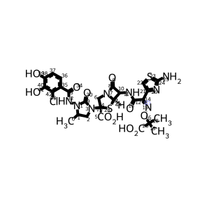 CC1CN([C@]2(C(=O)O)CN3C(=O)C(NC(=O)/C(=N\OC(C)(C)C(=O)O)c4csc(N)n4)[C@H]3S2)C(=O)N1NC(=O)c1ccc(O)c(O)c1Cl